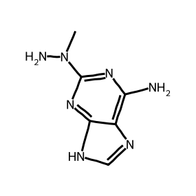 CN(N)c1nc(N)c2nc[nH]c2n1